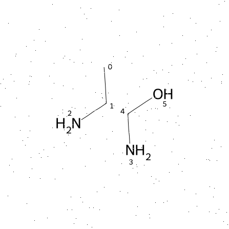 CCN.NCO